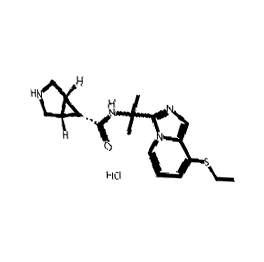 CCSc1cccn2c(C(C)(C)NC(=O)[C@@H]3[C@@H]4CNC[C@@H]43)ncc12.Cl